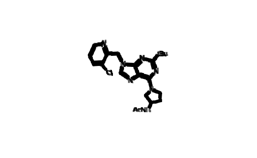 CC(=O)NC1CCN(c2nc(C(C)(C)C)nc3c2ncn3Cc2ncccc2Cl)C1